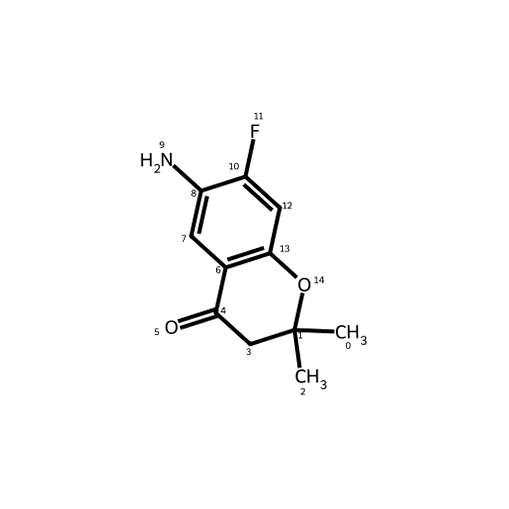 CC1(C)CC(=O)c2cc(N)c(F)cc2O1